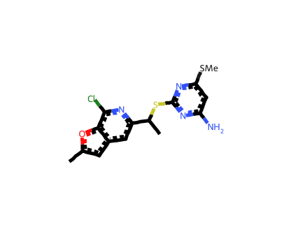 CSc1cc(N)nc(SC(C)c2cc3cc(C)oc3c(Cl)n2)n1